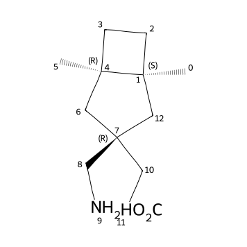 C[C@@]12CC[C@]1(C)C[C@@](CN)(CC(=O)O)C2